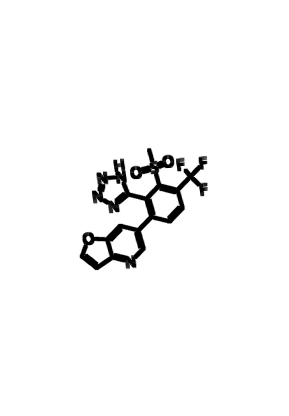 CS(=O)(=O)c1c(C(F)(F)F)ccc(-c2cnc3ccoc3c2)c1-c1nnn[nH]1